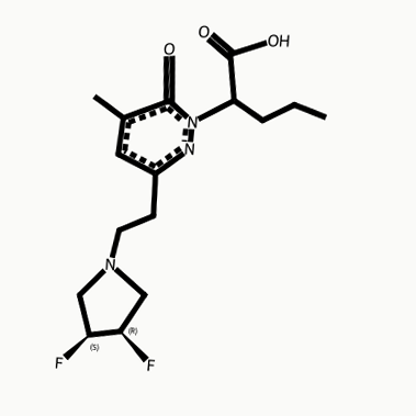 CCCC(C(=O)O)n1nc(CCN2C[C@@H](F)[C@@H](F)C2)cc(C)c1=O